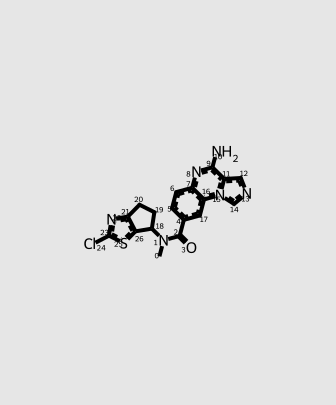 CN(C(=O)c1ccc2nc(N)c3cncn3c2c1)C1CCc2nc(Cl)sc21